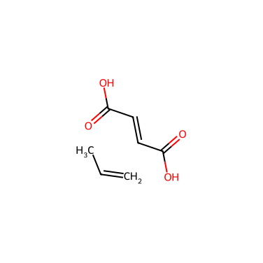 C=CC.O=C(O)/C=C/C(=O)O